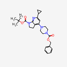 CC(C)(C)OC(=O)N1CCc2c(N3CCN(C(=O)OCc4ccccc4)CC3)cc(C3CC3)nc21